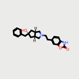 O=c1[nH]c2ccc(CCN3C[C@@H]4C[C@@](O)(Cc5ccccc5)C[C@@H]4C3)cc2o1